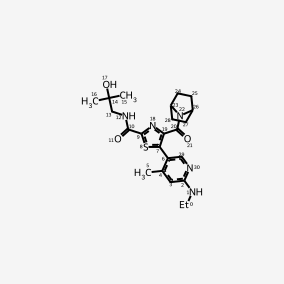 CCNc1cc(C)c(-c2sc(C(=O)NCC(C)(C)O)nc2C(=O)N2C3CCC2CC3)cn1